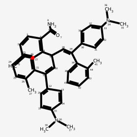 Cc1ccc(C(N)=O)c(C(C=C(c2ccc(N(C)C)cc2)c2ccccc2C)C=C(c2ccc(N(C)C)cc2)c2ccccc2C)c1